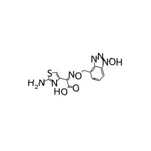 Nc1nc(C(=NOCc2cccc3c2nnn3O)C(=O)O)cs1